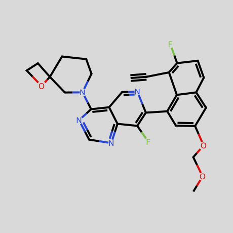 C#Cc1c(F)ccc2cc(OCOC)cc(-c3ncc4c(N5CCCC6(CCO6)C5)ncnc4c3F)c12